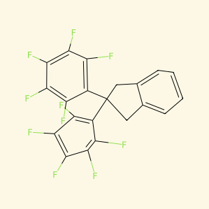 Fc1c(F)c(F)c(C2(c3c(F)c(F)c(F)c(F)c3F)Cc3ccccc3C2)c(F)c1F